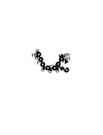 CC(C)n1cnc2cc(-c3ccc4c(c3)N([C@H]3C[C@@H](N5CCCCC5)C3)C(=O)C43CCN(C(=O)C4(C)CCN(C(=O)C5CCN(c6ccc(C7CCC(=O)NC7=O)cc6F)CC5)CC4)CC3)nc(NC3CC3)c21